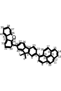 CC1(C)c2cc(-c3ccc4ccc5cccc6ccc3c4c56)ccc2-c2ccc(-c3cccc4c3oc3ccccc34)cc21